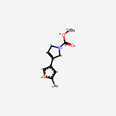 CC(=O)c1cc(C2=CCN(C(=O)OC(C)(C)C)C2)cs1